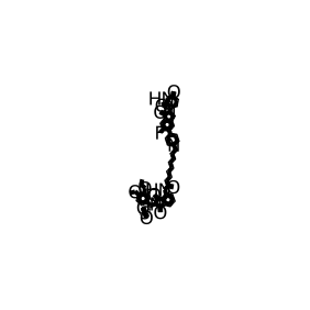 CCOc1cc([C@@H](CS(C)(=O)=O)N2C(=O)c3cccc(NC(=O)CCCCCCCCN4CCC(c5cc6c(cc5F)C(=O)N(C5CCC(=O)NC5=O)C6)CC4)c3C2=O)ccc1OC